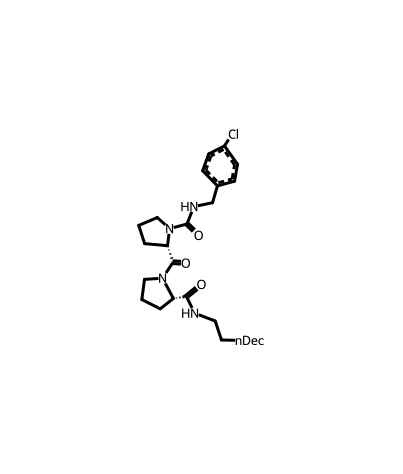 CCCCCCCCCCCCNC(=O)[C@@H]1CCCN1C(=O)[C@@H]1CCCN1C(=O)NCc1ccc(Cl)cc1